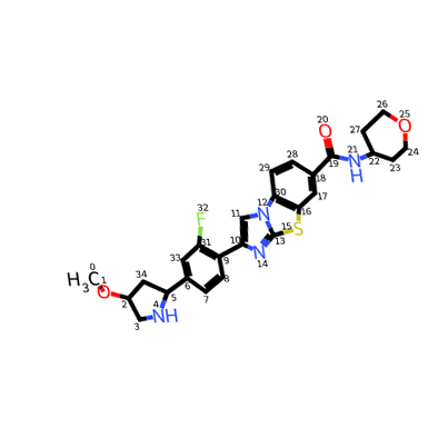 COC1CNC(c2ccc(-c3cn4c(n3)sc3cc(C(=O)NC5CCOCC5)ccc34)c(F)c2)C1